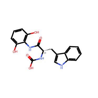 O=C(O)N[C@@H](Cc1c[nH]c2ccccc12)C(=O)Nc1c(O)cccc1O